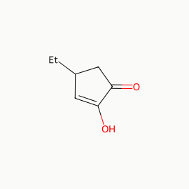 CCC1C=C(O)C(=O)C1